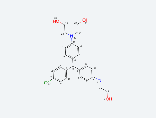 OCCNc1ccc(C(c2ccc(Cl)cc2)c2ccc(N(CCO)CCO)cc2)cc1